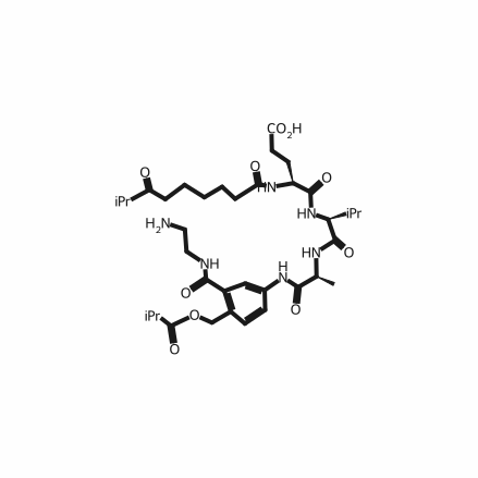 CC(C)C(=O)CCCCCC(=O)N[C@@H](CCC(=O)O)C(=O)N[C@H](C(=O)N[C@@H](C)C(=O)Nc1ccc(COC(=O)C(C)C)c(C(=O)NCCN)c1)C(C)C